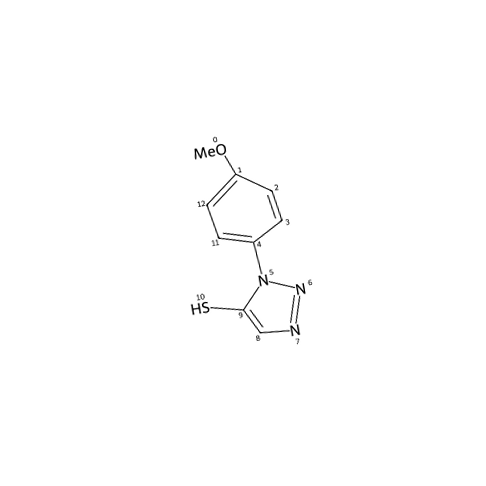 COc1ccc(-n2nncc2S)cc1